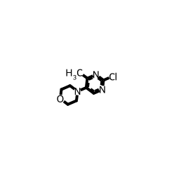 Cc1nc(Cl)ncc1N1CCOCC1